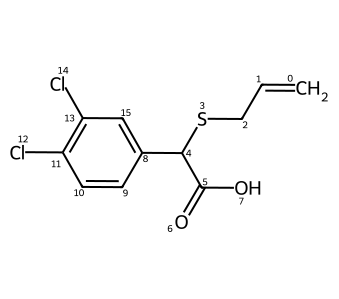 C=CCSC(C(=O)O)c1ccc(Cl)c(Cl)c1